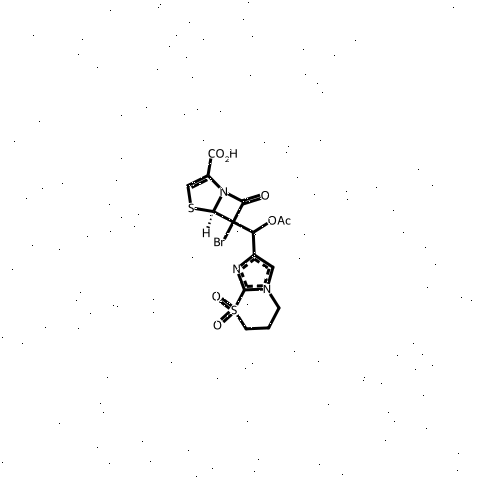 CC(=O)OC(c1cn2c(n1)S(=O)(=O)CCC2)C1(Br)C(=O)N2C(C(=O)O)=CS[C@@H]21